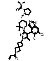 C=CC(=O)N1CC2(CC(n3nc(N4CC[C@@H](CN5CCC[C@H]5C(=O)N(C)C)CC4(C)C)c(-c4c(Cl)c(Cl)cc5[nH]ncc45)c3C)C2)C1